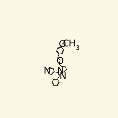 COc1ccc(COCC2CCc3nc(-c4ccccc4)c(-c4ccncc4)n32)cc1